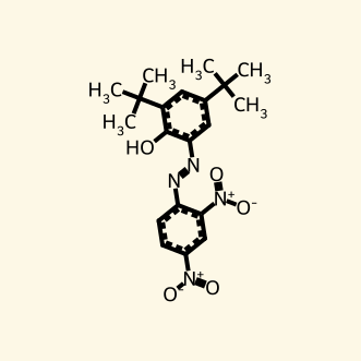 CC(C)(C)c1cc(/N=N/c2ccc([N+](=O)[O-])cc2[N+](=O)[O-])c(O)c(C(C)(C)C)c1